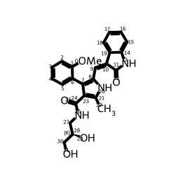 COc1ccccc1-c1c(C=C2C(=O)Nc3ccccc32)[nH]c(C)c1C(=O)NC[C@@H](O)CO